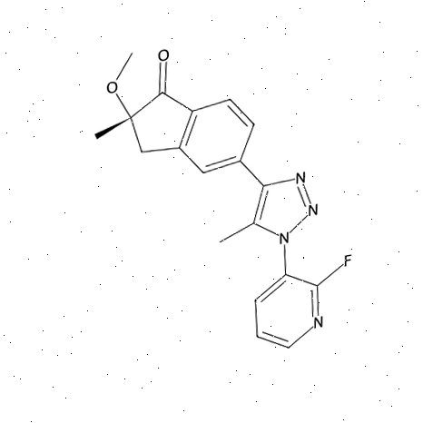 CO[C@@]1(C)Cc2cc(-c3nnn(-c4cccnc4F)c3C)ccc2C1=O